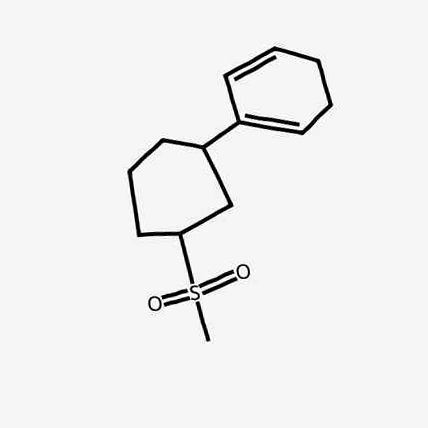 CS(=O)(=O)C1CCCC(C2=CCCC=C2)C1